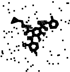 Cc1ccccc1NS(=O)(=O)c1cc(C(=O)NOCC2CC2)c(Nc2ccc(I)cc2Cl)c(F)c1F